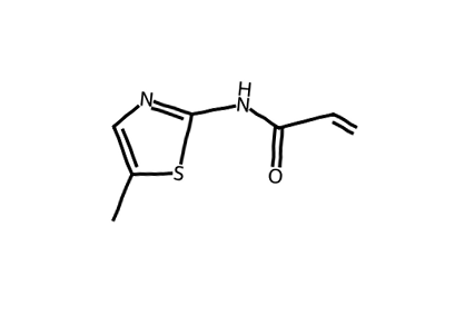 C=CC(=O)Nc1ncc(C)s1